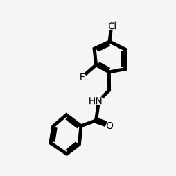 O=C(NCc1ccc(Cl)cc1F)c1ccccc1